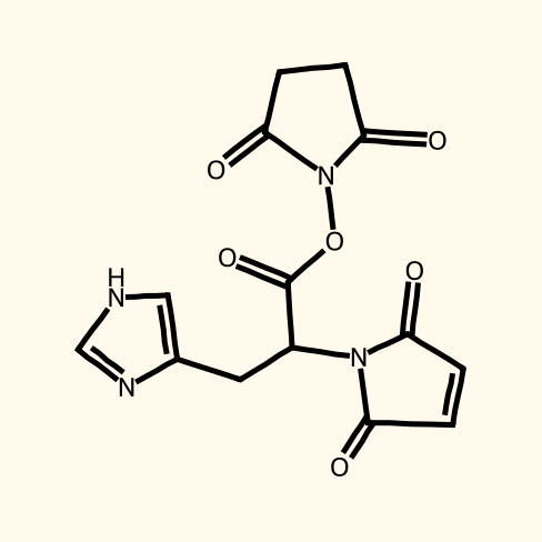 O=C(ON1C(=O)CCC1=O)C(Cc1c[nH]cn1)N1C(=O)C=CC1=O